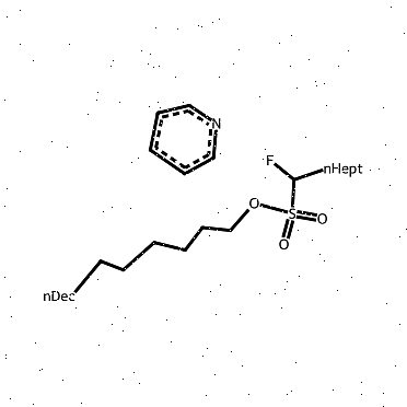 CCCCCCCCCCCCCCCCOS(=O)(=O)C(F)CCCCCCC.c1ccncc1